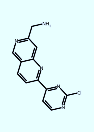 NCc1cc2nc(-c3ccnc(Cl)n3)ccc2cn1